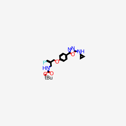 CC(C)(C)OC(=O)NC/C(=C\F)COc1ccc(-c2nnc(NC3CC3)o2)cc1